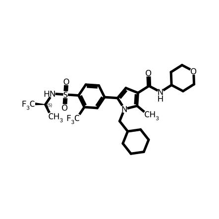 Cc1c(C(=O)NC2CCOCC2)cc(-c2ccc(S(=O)(=O)N[C@@H](C)C(F)(F)F)c(C(F)(F)F)c2)n1CC1CCCCC1